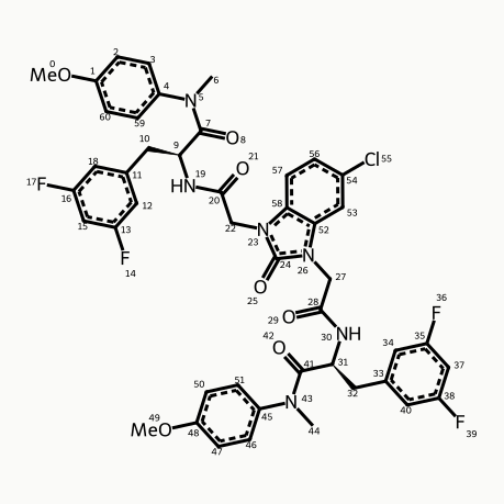 COc1ccc(N(C)C(=O)[C@H](Cc2cc(F)cc(F)c2)NC(=O)Cn2c(=O)n(CC(=O)N[C@@H](Cc3cc(F)cc(F)c3)C(=O)N(C)c3ccc(OC)cc3)c3cc(Cl)ccc32)cc1